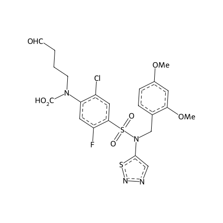 COc1ccc(CN(c2cnns2)S(=O)(=O)c2cc(Cl)c(N(CCCC=O)C(=O)O)cc2F)c(OC)c1